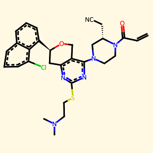 C=CC(=O)N1CCN(c2nc(SCCN(C)C)nc3c2CO[C@H](c2cccc4cccc(Cl)c24)C3)C[C@@H]1CC#N